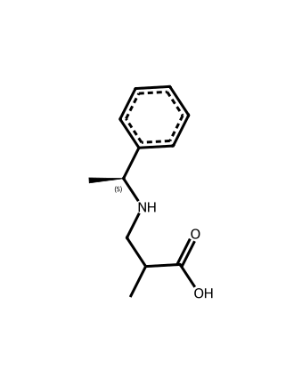 CC(CN[C@@H](C)c1ccccc1)C(=O)O